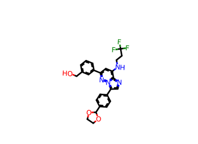 OCc1cccc(-c2cc(NCCC(F)(F)F)c3ncc(-c4ccc(C5OCCO5)cc4)n3n2)c1